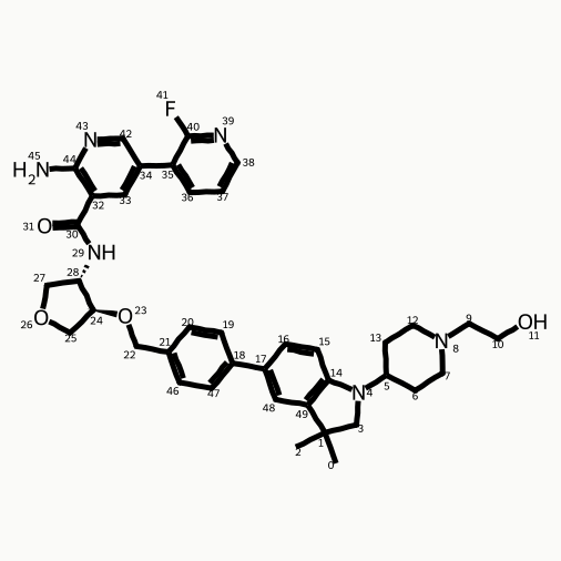 CC1(C)CN(C2CCN(CCO)CC2)c2ccc(-c3ccc(CO[C@H]4COC[C@@H]4NC(=O)c4cc(-c5cccnc5F)cnc4N)cc3)cc21